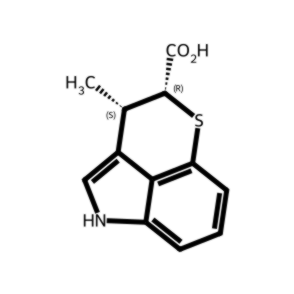 C[C@H]1c2c[nH]c3cccc(c23)S[C@H]1C(=O)O